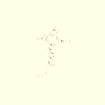 CCCCCNC(=O)CN1CCN(C(=O)CN2CCN(CC(=O)O)CCN(CC(=O)O)CCN(CC(=O)O)CC2)CC1